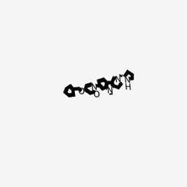 Cn1c2c(c3ccc(-n4ccc(OCc5ccccc5)cc4=O)cc31)CN(C[C@@H]1CCCN1)CC2